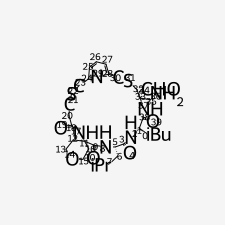 CC[C@H](C)[C@@H]1NC(=O)[C@H](CC(C)C)NC(=O)C2(CCOCC2)NC(=O)CCSCc2cccc(n2)CSCC(C=O)(CN)NC1=O